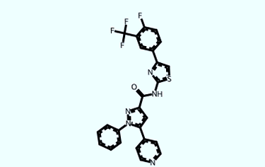 O=C(Nc1nc(-c2ccc(F)c(C(F)(F)F)c2)cs1)c1cc(-c2ccncc2)n(-c2ccccc2)n1